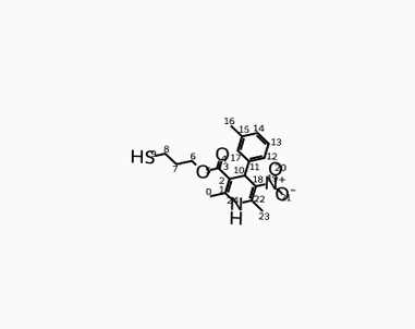 CC1=C(C(=O)OCCCS)C(c2cccc(C)c2)C([N+](=O)[O-])=C(C)N1